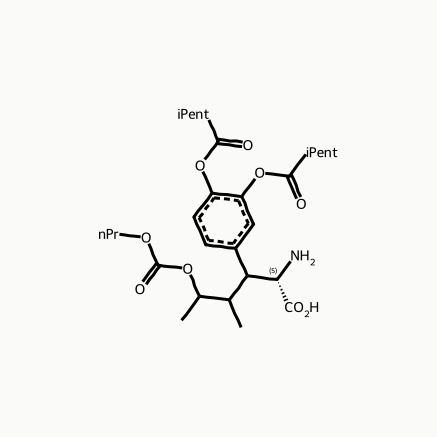 CCCOC(=O)OC(C)C(C)C(c1ccc(OC(=O)C(C)CCC)c(OC(=O)C(C)CCC)c1)[C@H](N)C(=O)O